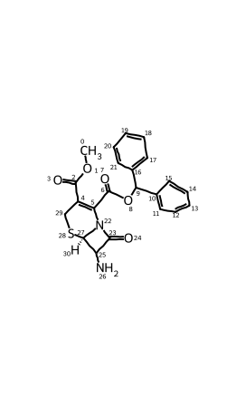 COC(=O)C1=C(C(=O)OC(c2ccccc2)c2ccccc2)N2C(=O)C(N)[C@H]2SC1